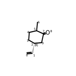 C=C[C@@H]1CCC(C)C(=O)C1